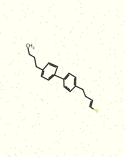 CCCCc1ccc(-c2ccc(CCC=CF)cc2)cc1